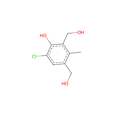 Cc1c(CO)cc(Cl)c(O)c1CO